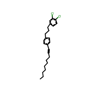 CCCCCCCCC#Cc1ccc(C[CH]Cc2ccc(Cl)c(Cl)c2)cc1